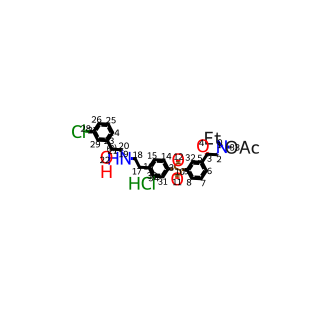 CCN(CC(=O)c1cccc(S(=O)(=O)c2ccc(CCNC[C@H](O)c3cccc(Cl)c3)cc2)c1)OC(C)=O.Cl